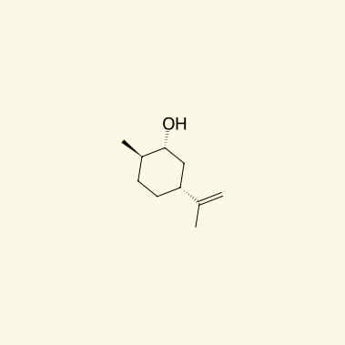 C=C(C)[C@@H]1CC[C@@H](C)[C@H](O)C1